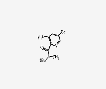 Cc1cc(Br)cnc1C(=O)N(C)C(C)(C)C